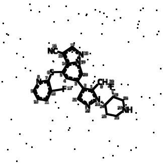 Cc1c(-c2cc(Sc3ncccc3F)c3c(C#N)cnn3c2)cnn1[C@H]1CCNC[C@H]1F